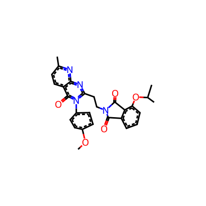 COc1ccc(-n2c(CCN3C(=O)c4cccc(OC(C)C)c4C3=O)nc3nc(C)ccc3c2=O)cc1